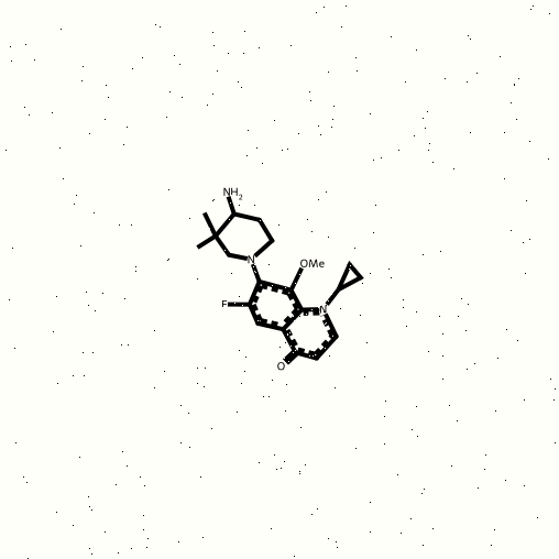 COc1c(N2CCC(N)C(C)(C)C2)c(F)cc2c(=O)ccn(C3CC3)c12